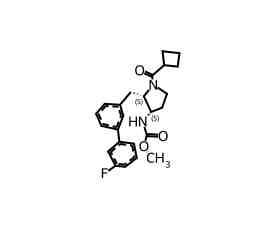 COC(=O)N[C@H]1CCN(C(=O)C2CCC2)[C@H]1Cc1cccc(-c2cccc(F)c2)c1